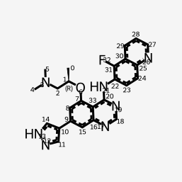 C[C@H](CN(C)C)Oc1cc(-c2cn[nH]c2)cc2ncnc(Nc3ccc4ncccc4c3F)c12